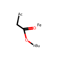 CCCCOC(=O)CC(C)=O.[Fe]